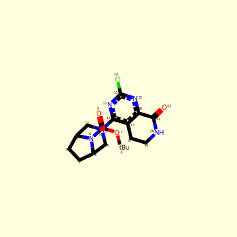 CC(C)(C)OC(=O)N1C2CCC1CN(c1nc(Cl)nc3c1CCNC3=O)C2